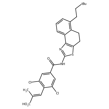 C/C(=C\c1c(Cl)cc(C(=O)Nc2nc3c(s2)CCc2c(CCC(C)(C)C)cccc2-3)cc1Cl)C(=O)O